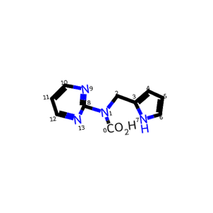 O=C(O)N(Cc1ccc[nH]1)c1ncccn1